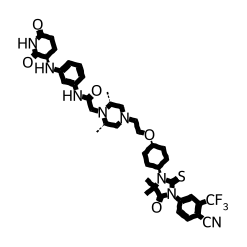 C[C@@H]1CN(CCO[C@H]2CC[C@H](N3C(=S)N(c4ccc(C#N)c(C(F)(F)F)c4)C(=O)C3(C)C)CC2)C[C@H](C)N1CC(=O)Nc1cccc(N[C@@H]2CCC(=O)NC2=O)c1